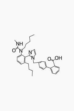 CCCCCN(C(=O)NC)c1cccc(CCCC)c1-c1nccn1Cc1ccc(-c2ccccc2C(=O)O)cc1